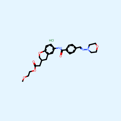 COCCOC(=O)CC1COc2ccc(NC(=O)c3ccc(C=NN4CCOCC4)cc3)cc2C1.Cl